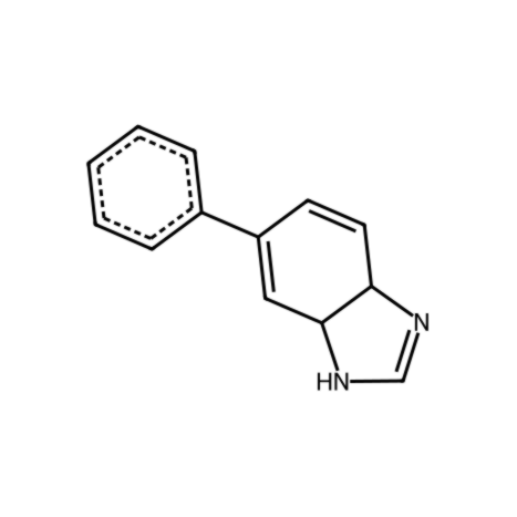 C1=CC2N=CNC2C=C1c1ccccc1